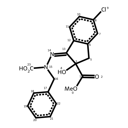 COC(=O)C1(O)Cc2cc(Cl)ccc2C1=NN(Cc1ccccc1)C(=O)O